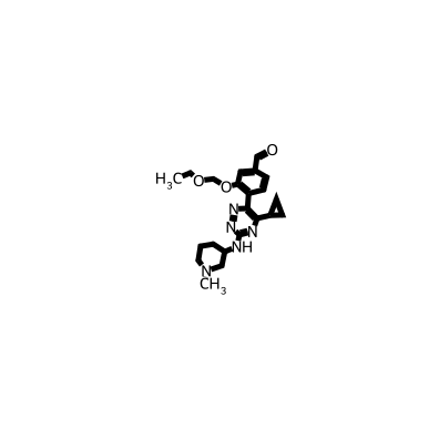 CCOCOc1cc(C=O)ccc1-c1nnc(NC2CCCN(C)C2)nc1C1CC1